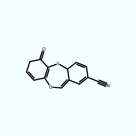 N#CC1=CC2=COC3=C(SC2C=C1)C(=O)CC=C3